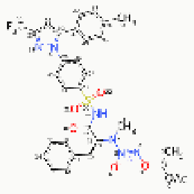 CC(=O)OC(C)O/N=[N+](\[O-])N(C)[C@@H](Cc1ccccc1)C(=O)NS(=O)(=O)c1ccc(-n2nc(C(F)(F)F)cc2-c2ccc(C)cc2)cc1